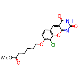 COC(=O)CCCCCOc1ccc2cc3c(=O)[nH]c(=O)nc-3oc2c1Cl